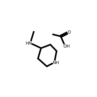 CC(=O)O.CNC1CCNCC1